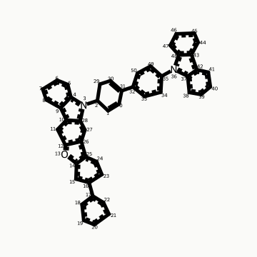 C1=CC(n2c3ccccc3c3cc4oc5cc(-c6ccccc6)ccc5c4cc32)CC=C1c1ccc(-n2c3ccccc3c3ccccc32)cc1